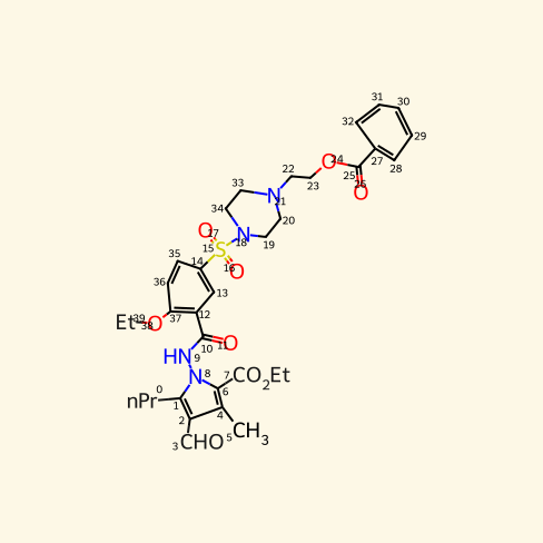 CCCc1c(C=O)c(C)c(C(=O)OCC)n1NC(=O)c1cc(S(=O)(=O)N2CCN(CCOC(=O)c3ccccc3)CC2)ccc1OCC